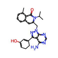 Cc1cccc2cc(Cn3nc(C4=CC(O)=CCC4)c4c(N)ncnc43)n(C(C)C)c(=O)c12